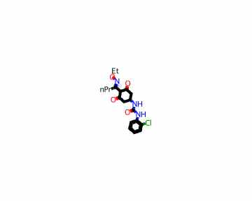 CCC/C(=N\OCC)C1C(=O)CC(NC(=O)Nc2ccccc2Cl)CC1=O